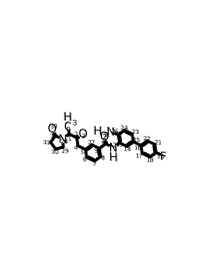 CC(C(=O)Cc1cccc(C(=O)Nc2cc(-c3ccc(F)cc3)ccc2N)c1)N1CCCC1=O